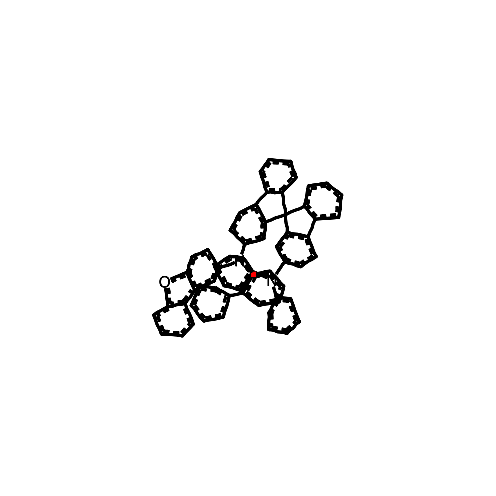 c1ccc(-c2ccccc2N(c2ccc3c(c2)C2(c4ccccc4-c4ccc(N(c5ccccc5)c5ccccc5)cc42)c2ccccc2-3)c2ccc3oc4ccccc4c3c2)cc1